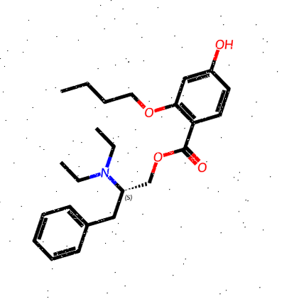 CCCCOc1cc(O)ccc1C(=O)OC[C@H](Cc1ccccc1)N(CC)CC